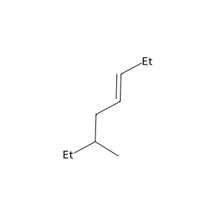 [CH2]CC(C)CC=CCC